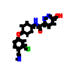 N#Cc1ccc(OC2CCC(NC(=O)c3ccc(O)nn3)CC2)cc1Cl